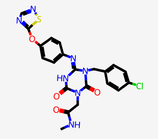 CNC(=O)Cn1c(=O)[nH]/c(=N\c2ccc(Oc3ncns3)cc2)n(Cc2ccc(Cl)cc2)c1=O